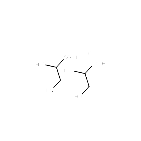 CC(C[NH-])S(=O)(=O)O.CC(C[NH-])S(=O)(=O)O.[K+].[K+]